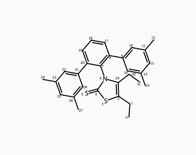 CCc1sc(=S)n(-c2c(-c3cc(C)cc(C)c3)cccc2-c2cc(C)cc(C)c2)c1CC